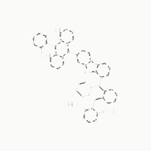 Cc1cccc(C)c1C1=c2ccccc2=C(c2cccc3c2oc2cc(-c4c5ccccc5c(-c5c(C)cccc5C)c5ccccc45)ccc23)C2C=CC=CC12